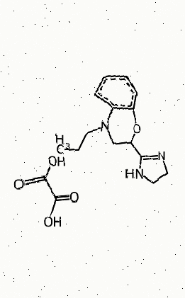 CCCN1CC(C2=NCCN2)Oc2ccccc21.O=C(O)C(=O)O